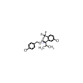 CC(C)/C(=N\OCc1ccc(Cl)cc1)c1cc(Cl)ccc1C(F)(F)F